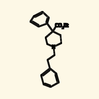 CCOC(=O)C1(c2ccccc2)CCN(CCc2ccccc2)CC1